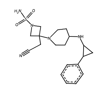 N#CCC1(N2CCC(NC3CC3c3ccccc3)CC2)CN(S(N)(=O)=O)C1